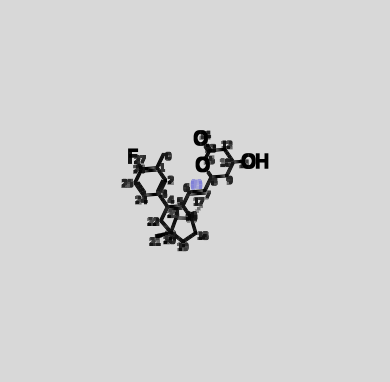 Cc1cc(C2=C(/C=C/C3CC(O)CC(=O)O3)[C@@]3(C)CC[C@](C)(C2)C3)ccc1F